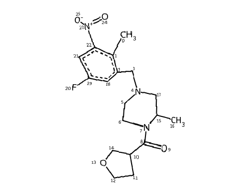 Cc1c(CN2CCN(C(=O)C3CCOC3)C(C)C2)cc(F)cc1[N+](=O)[O-]